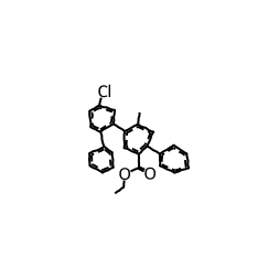 CCOC(=O)c1cc(-c2cc(Cl)ccc2-c2ccccc2)c(C)cc1-c1ccccc1